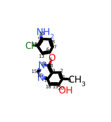 Cc1cc2c(Oc3ccc(N)c(Cl)c3)ncnc2cc1O